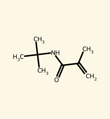 C=C(C)C(=O)NC(C)(C)C